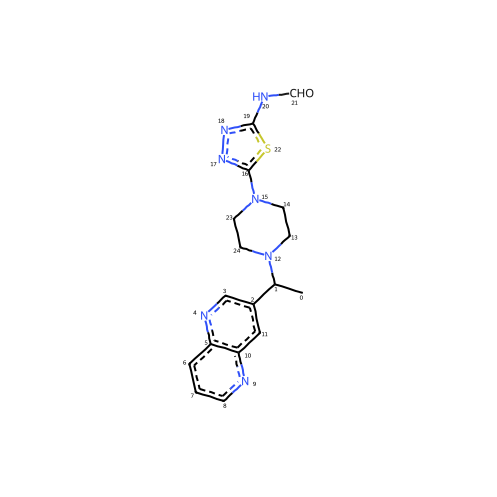 CC(c1cnc2cccnc2c1)N1CCN(c2nnc(NC=O)s2)CC1